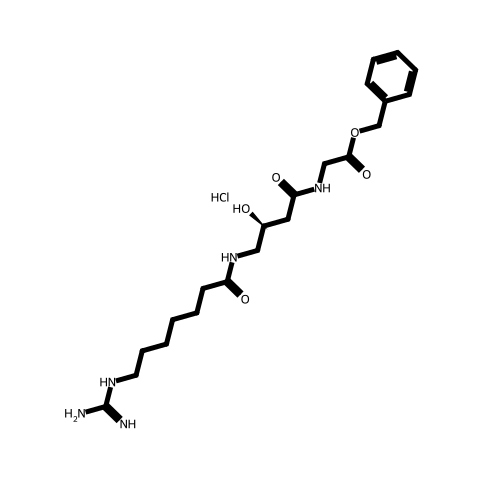 Cl.N=C(N)NCCCCCCC(=O)NC[C@@H](O)CC(=O)NCC(=O)OCc1ccccc1